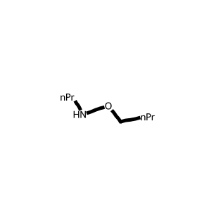 CCCCONCCC